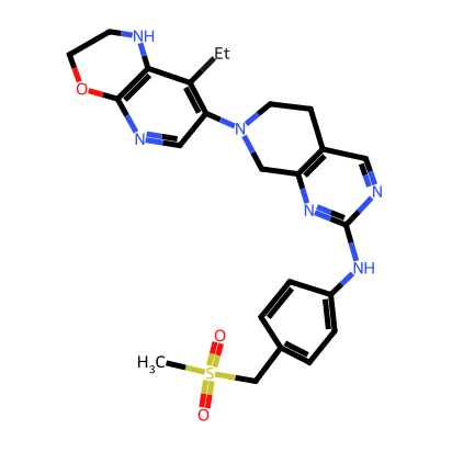 CCc1c(N2CCc3cnc(Nc4ccc(CS(C)(=O)=O)cc4)nc3C2)cnc2c1NCCO2